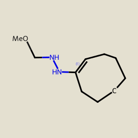 COCNN/C1=C/CCCCCC1